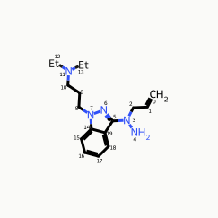 C=CCN(N)c1nn(CCCN(CC)CC)c2ccccc12